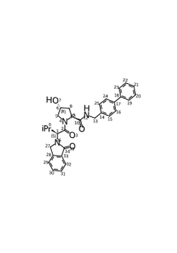 CC(C)[C@@H](C(=O)N1C[C@H](O)C[C@H]1C(=O)NCc1ccc(-c2ccccc2)cc1)N1Cc2ccccc2C1=O